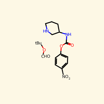 CC(C)(C)OC=O.O=C(NC1CCCNC1)Oc1ccc([N+](=O)[O-])cc1